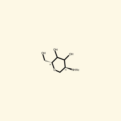 CC(=O)N[C@H]1CO[C@H](CO)C(O)C1O